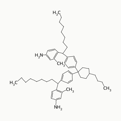 CCCCCCCCC(c1ccc(C2(c3ccc(C(CCCCCCCC)c4ccc(N)cc4C)cc3)CCC(CCCC)CC2)cc1)c1ccc(N)cc1C